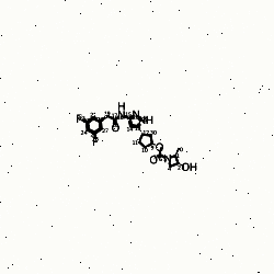 C[C@H]1[C@H](O)CN1C(=O)O[C@@H]1CC[C@H](c2cc(NC(=O)Cc3cc(F)cc(F)c3)n[nH]2)C1